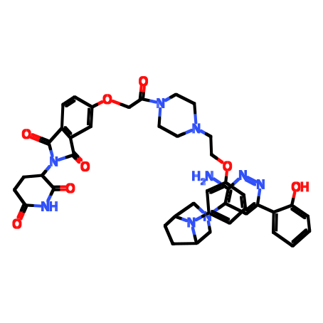 Nc1nnc(-c2ccccc2O)cc1N1CC2CCC(C1)N2c1cccc(OCCN2CCN(C(=O)COc3ccc4c(c3)C(=O)N(C3CCC(=O)NC3=O)C4=O)CC2)c1